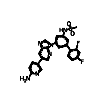 CS(=O)(=O)Nc1cc(-c2ccc(F)cc2F)cc(-n2cnc3cc(-c4ccc(N)nc4)cnc32)c1